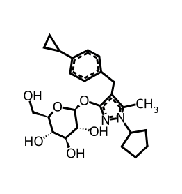 Cc1c(Cc2ccc(C3CC3)cc2)c(O[C@@H]2O[C@H](CO)[C@@H](O)[C@H](O)[C@H]2O)nn1C1CCCC1